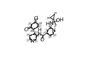 CC(O)(Nc1cc(C(=O)Nc2cnccc2-c2ccc(Cl)cc2Cl)ccn1)C1CC1